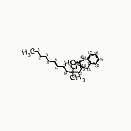 CCCCCCCCCC(C)(C)CC(Cc1ccccc1)C(O)=S